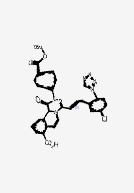 CC(C)(C)OC(=O)c1ccc(NC(=O)C2c3cccc(C(=O)O)c3CCN2C(=O)/C=C/c2cc(Cl)ccc2-n2cnnn2)cc1